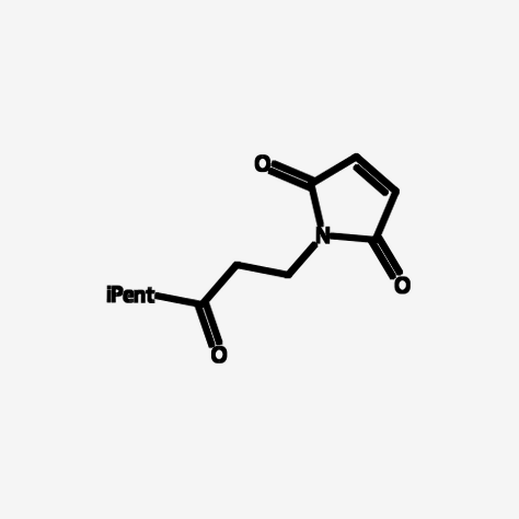 CCCC(C)C(=O)CCN1C(=O)C=CC1=O